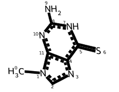 Cn1cnc2c(=S)[nH]c(N)nc21